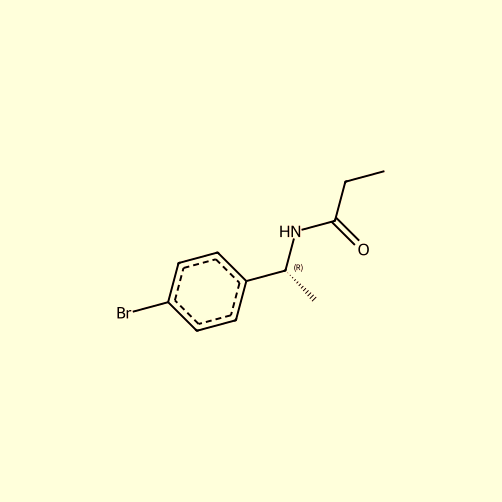 CCC(=O)N[C@H](C)c1ccc(Br)cc1